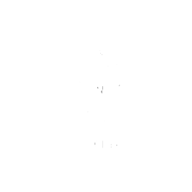 O=CCC[N+]12C#CC(CC1)CC2